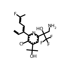 C=C/C(=C\C=C(/C)F)c1nc(C(O)(CN)C(F)(F)F)cc(C(C)(C)O)c1Cl